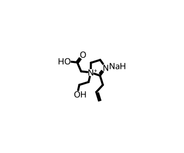 C=CCC1=NCC[N+]1(CCO)CC(=O)O.[NaH]